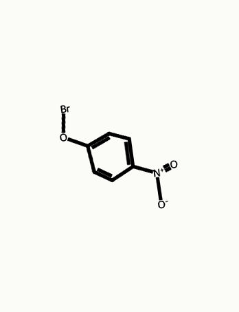 O=[N+]([O-])c1ccc(OBr)cc1